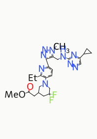 CCc1nc(-c2nnn(C)c2CNc2nncc(C3CC3)n2)ccc1N1CC(CC(=O)OC)CC(F)(F)C1